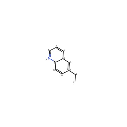 CCC1=CC2C=CC=NC2C=C1